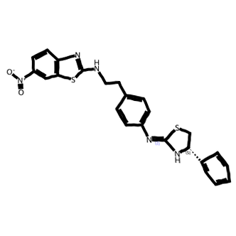 O=[N+]([O-])c1ccc2nc(NCCc3ccc(/N=C4/N[C@@H](c5ccccc5)CS4)cc3)sc2c1